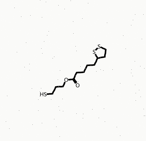 O=C(CCCCC1CCSS1)OCCCS